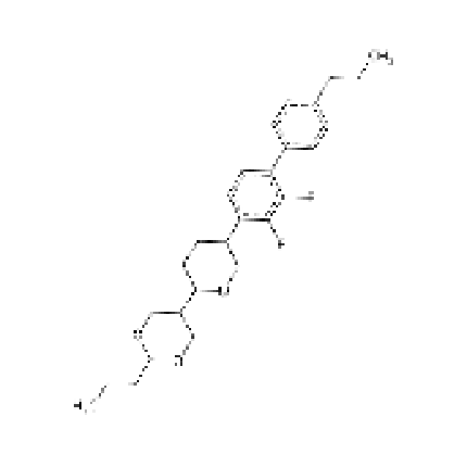 CCCc1ccc(-c2ccc(C3CCC(C4COC(CCC)OC4)OC3)c(F)c2F)cc1